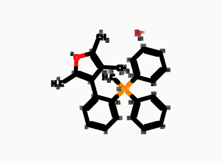 Cc1oc(C)c(-c2ccccc2[P+](C)(c2ccccc2)c2ccccc2)c1C.[Br-]